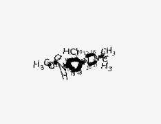 COC(=O)Nc1ccc(N2CCN(C(C)C)CC2)cc1.Cl